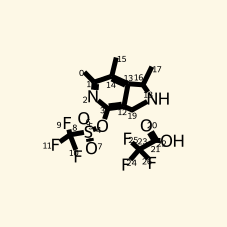 Cc1nc(OS(=O)(=O)C(F)(F)F)c2c(c1C)C(C)NC2.O=C(O)C(F)(F)F